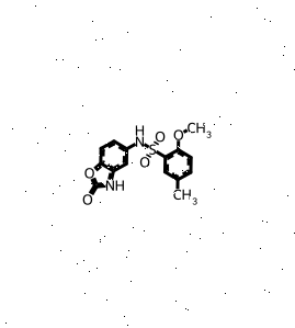 COc1ccc(C)cc1S(=O)(=O)Nc1ccc2oc(=O)[nH]c2c1